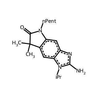 CCCCCN1C(=O)C(C)(C)c2cc3c(cc21)nc(N)n3C(C)C